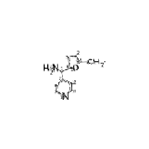 [CH2]c1ccc(C(N)c2ccncc2)o1